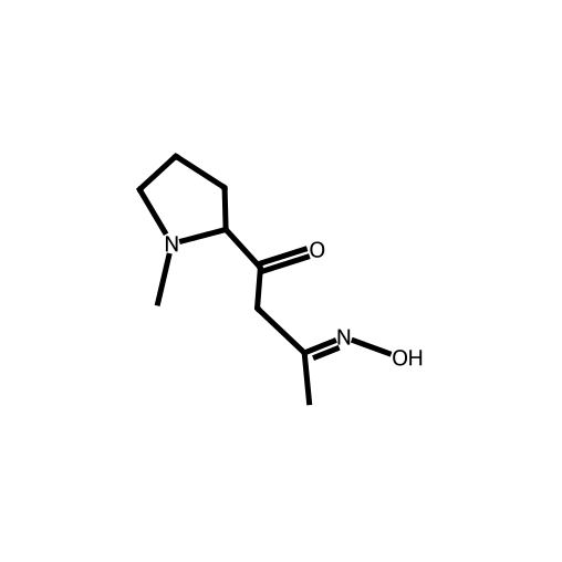 CC(CC(=O)C1CCCN1C)=NO